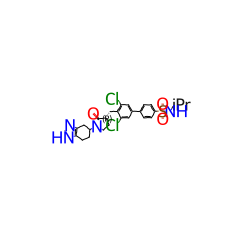 CC(C)NS(=O)(=O)c1ccc(-c2cc(Cl)c(C[C@@H]3CCN(C4CCc5[nH]cnc5C4)C3=O)c(Cl)c2)cc1